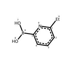 CCc1cccc(B(O)O)n1